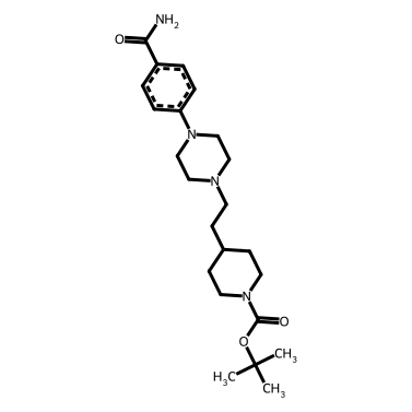 CC(C)(C)OC(=O)N1CCC(CCN2CCN(c3ccc(C(N)=O)cc3)CC2)CC1